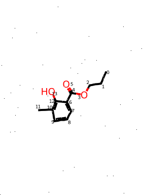 CCCOC(=O)c1cccc(C)c1O